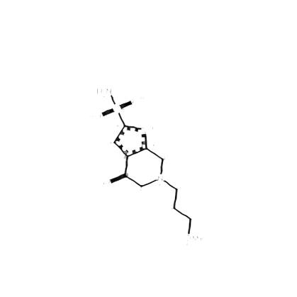 COCCCN1CC(=O)c2cc(S(N)(=O)=O)sc2C1